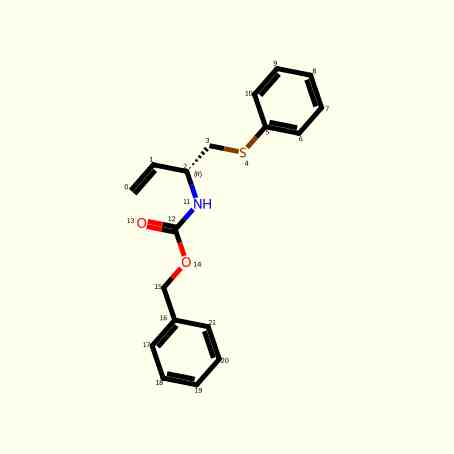 C=C[C@H](CSc1ccccc1)NC(=O)OCc1ccccc1